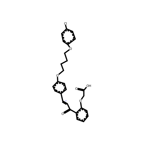 O=C(O)COc1ccccc1C(=O)/C=C/c1ccc(OCCCCOc2ccc(Cl)cc2)cc1